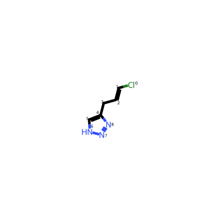 ClC=CCc1c[nH]nn1